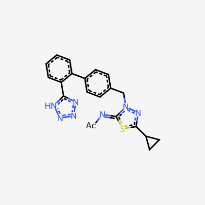 CC(=O)N=c1sc(C2CC2)nn1Cc1ccc(-c2ccccc2-c2nnn[nH]2)cc1